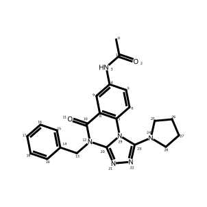 CC(=O)Nc1ccc2c(c1)c(=O)n(Cc1ccccc1)c1nnc(N3CCCC3)n21